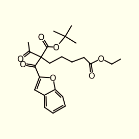 CCOC(=O)CCCCC(C(C)=O)(C(=O)OC(C)(C)C)C(=O)c1cc2ccccc2o1